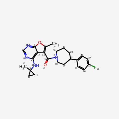 Cc1oc2ncnc(NC3(C)CC3)c2c1C(=O)N1CCCC(c2ccc(F)cc2)CC1